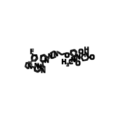 Cn1c(=O)n(C2CCC(=O)NC2=O)c2cccc(OCCCN3CCN(c4cccc(-c5cnc6ccc(N7CCC[C@@H]7c7cccc(F)c7)nn56)n4)CC3)c21